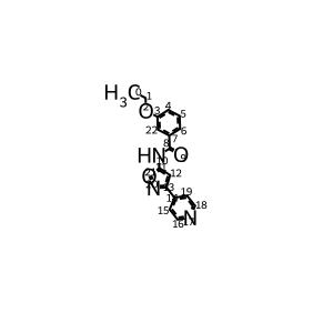 CCOc1cccc(C(=O)Nc2cc(-c3ccncc3)no2)c1